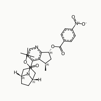 C[C@@H]1C[C@@H](OC(=O)c2ccc([N+](=O)[O-])cc2)c2ncnc(N3C[C@H]4CC[C@@H](C3)N4C(=O)OC(C)(C)C)c21